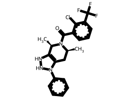 C[C@@H]1C2=C(C[C@H](C)N1C(=O)c1cccc(C(F)(F)F)c1Cl)N(c1ccccc1)NN2